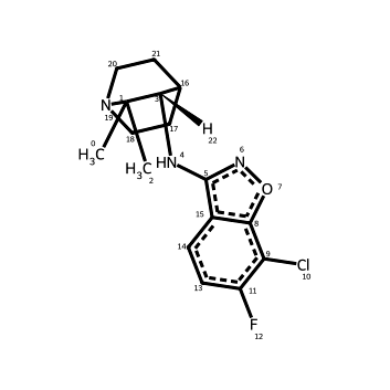 CC1(C)[C@@H](Nc2noc3c(Cl)c(F)ccc23)C2CCN1CC2